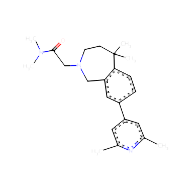 Cc1cc(-c2ccc3c(c2)CN(CC(=O)N(C)C)CCC3(C)C)cc(C)n1